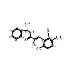 CCC[C@H](NC(=O)/C(C#N)=C/c1c(Cl)ccc(C)c1F)c1ccccc1